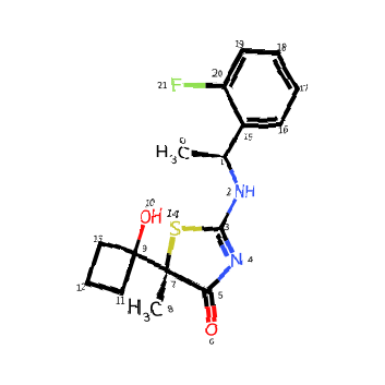 C[C@H](NC1=NC(=O)[C@](C)(C2(O)CCC2)S1)c1ccccc1F